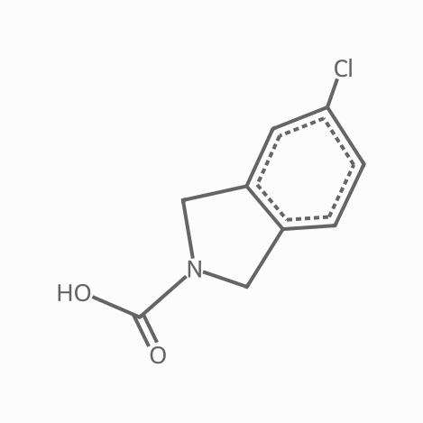 O=C(O)N1Cc2ccc(Cl)cc2C1